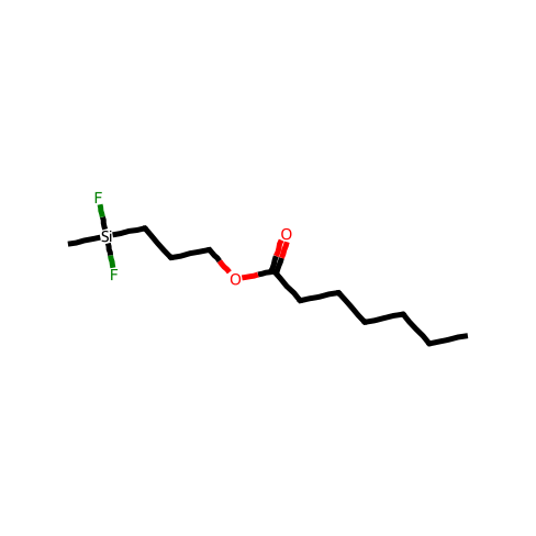 CCCCCCC(=O)OCCC[Si](C)(F)F